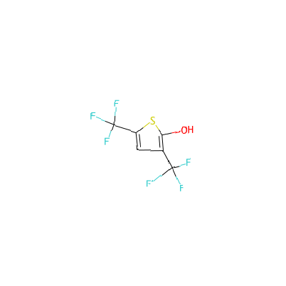 Oc1sc(C(F)(F)F)cc1C(F)(F)F